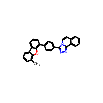 Cc1cccc2c1oc1c(-c3ccc(-c4nnc5c6ccccc6ccn45)cc3)cccc12